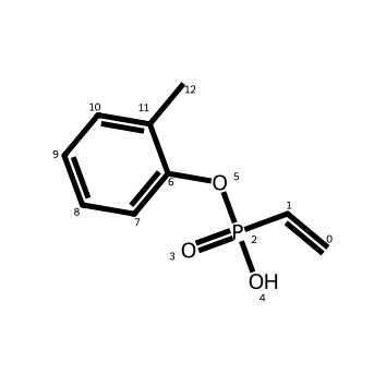 C=CP(=O)(O)Oc1ccccc1C